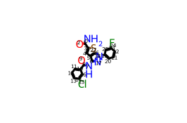 NC(=O)c1cc2c(NC(=O)c3cccc(Cl)c3)nn(-c3cccc(F)c3)c2s1